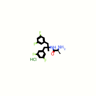 C[C@H](N)C(=O)NC(C)(Cc1cc(F)cc(F)c1)Cc1cc(F)cc(F)c1.Cl